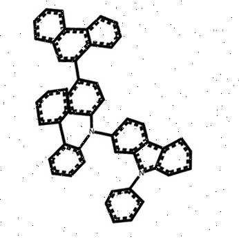 c1ccc(-c2ccccc2N(c2ccc(-c3cc4ccccc4c4ccccc34)cc2)c2ccc3c4ccccc4n(-c4ccccc4)c3c2)cc1